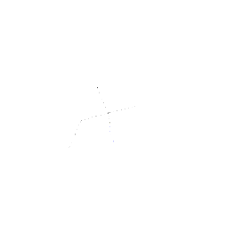 CCC(N)([C]=O)CO